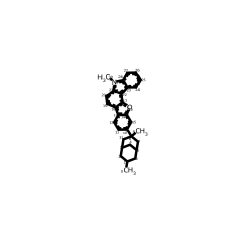 CC1CC2CC(C1)CC(C)(c1ccc3c(c1)oc1c3ccc3c1c1ccccc1n3C)C2